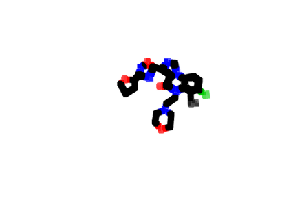 N#Cc1c(Cl)ccc2c1n(CCN1CCOCC1)c(=O)c1c(-c3nc(C4CCCO4)no3)ncn12